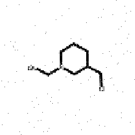 CC(C)(C)CN1CCCC(CO)C1